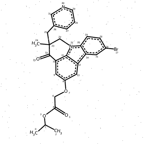 CC(C)OC(=O)COc1cc2c3c(c1)c1cc(Br)ccc1n3CC(C)(Cc1cccnc1)C2=O